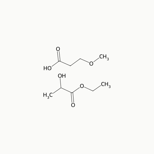 CCOC(=O)C(C)O.COCCC(=O)O